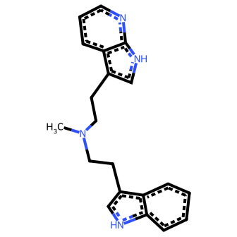 CN(CCc1c[nH]c2ccccc12)CCc1c[nH]c2ncccc12